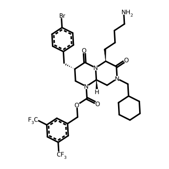 NCCCC[C@H]1C(=O)N(CC2CCCCC2)C[C@@H]2N(C(=O)OCc3cc(C(F)(F)F)cc(C(F)(F)F)c3)C[C@H](Cc3ccc(Br)cc3)C(=O)N21